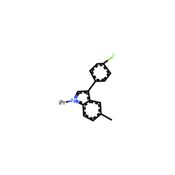 Cc1ccc2c(c1)c(-c1ccc(F)cc1)cn2C(C)C